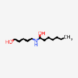 CCCCCCC(O)NCCCCCO